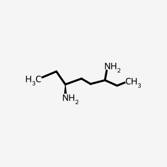 CCC(N)CC[C@@H](N)CC